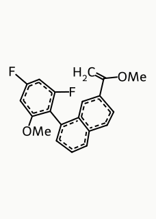 C=C(OC)c1ccc2cccc(-c3c(F)cc(F)cc3OC)c2c1